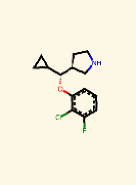 Fc1cccc(O[C@H](C2CC2)[C@H]2CCNC2)c1Cl